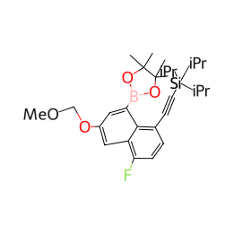 COCOc1cc(B2OC(C)(C)C(C)(C)O2)c2c(C#C[Si](C(C)C)(C(C)C)C(C)C)ccc(F)c2c1